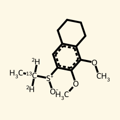 [2H][13C]([2H])(C)[S+]([O-])c1cc2c(c(OC)c1OC)CCCC2